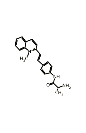 C[C@H](N)C(=O)Nc1ccc(C=Cc2ccc3ccccc3[n+]2C)cc1